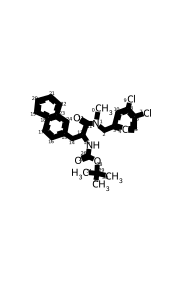 CN(Cc1ccc(Cl)c(Cl)c1)C(=O)C(Cc1ccc2ccccc2c1)NC(=O)OC(C)(C)C